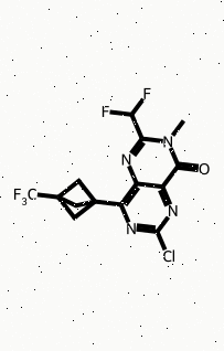 Cn1c(C(F)F)nc2c(C34CC(C(F)(F)F)(C3)C4)nc(Cl)nc2c1=O